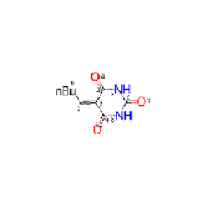 CCCCC=C1C(=O)NC(=O)NC1=O